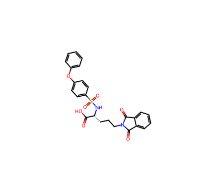 O=C(O)[C@@H](CCCN1C(=O)c2ccccc2C1=O)NS(=O)(=O)c1ccc(Oc2ccccc2)cc1